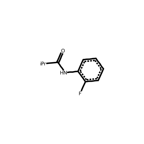 CC(C)C(=O)Nc1ccccc1F